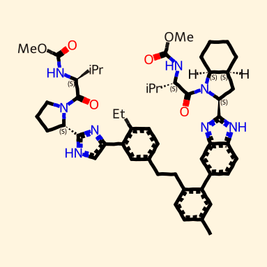 CCc1ccc(CCc2ccc(C)cc2-c2ccc3[nH]c([C@@H]4C[C@@H]5CCCC[C@@H]5N4C(=O)[C@@H](NC(=O)OC)C(C)C)nc3c2)cc1-c1c[nH]c([C@@H]2CCCN2C(=O)[C@@H](NC(=O)OC)C(C)C)n1